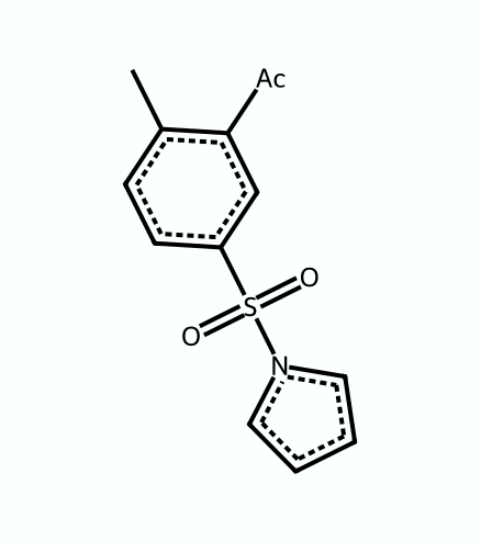 CC(=O)c1cc(S(=O)(=O)n2cccc2)ccc1C